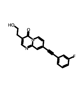 O=c1c(CCO)cnc2cc(C#Cc3cccc(F)c3)ccn12